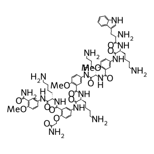 COc1ccc(NC(=O)[C@H](CCCCN)NC(=O)c2cc(NC(=O)[C@H](CCCCN)NC(=O)c3cc(NC(=O)[C@H](CCCCN)NC(=O)c4cc(NC(=O)[C@H](CCCCN)NC(=O)[C@@H](N)Cc5c[nH]c6ccccc56)ccc4OC)ccc3OC)ccc2OCC(N)=O)cc1C(N)=O